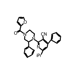 CC(C)c1cc(-c2ccccc2)c(C#N)c(N2CCN(C(=O)c3ccco3)CC2c2ccccc2)n1